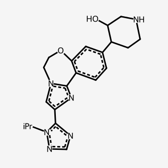 CC(C)n1ncnc1-c1cn2c(n1)-c1ccc(C3CCNCC3O)cc1OCC2